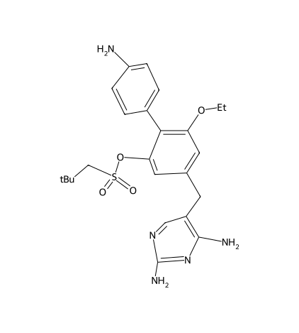 CCOc1cc(Cc2cnc(N)nc2N)cc(OS(=O)(=O)CC(C)(C)C)c1-c1ccc(N)cc1